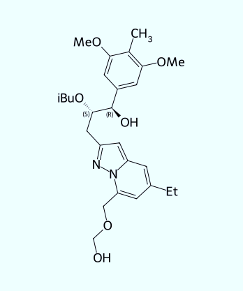 CCc1cc(COCO)n2nc(C[C@H](OCC(C)C)[C@H](O)c3cc(OC)c(C)c(OC)c3)cc2c1